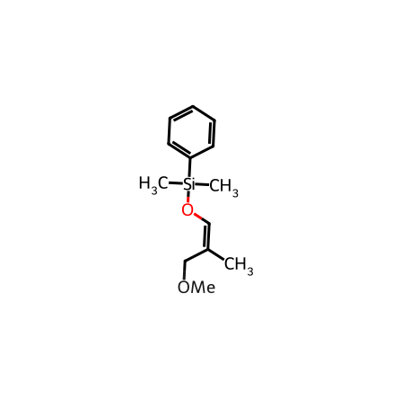 COCC(C)=CO[Si](C)(C)c1ccccc1